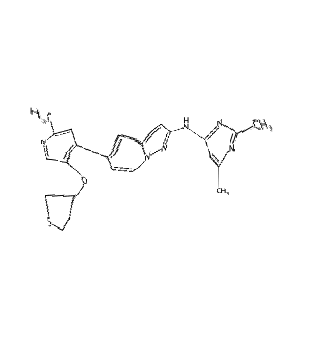 Cc1cc(-c2ccn3nc(Nc4cc(C)nc(C)n4)cc3c2)c(OC2CCSC2)cn1